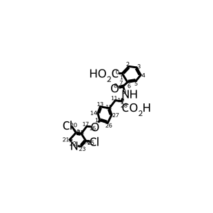 O=C(O)c1ccccc1C(=O)N[C@@H](Cc1ccc(OCc2c(Cl)cncc2Cl)cc1)C(=O)O